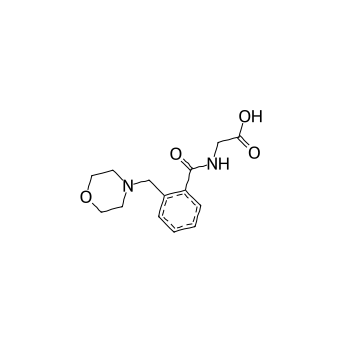 O=C(O)CNC(=O)c1ccccc1CN1CCOCC1